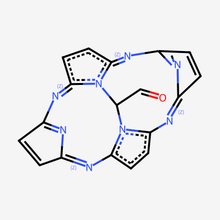 O=CC1n2c3ccc2/N=C2/C=CC(=N2)/N=c2/cc/c(n21)=N/C1=NC(=N\3)/C=C1